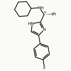 CC(C)[C@@H](NC1CCCCC1)c1nc(-c2ccc(F)cc2)c[nH]1